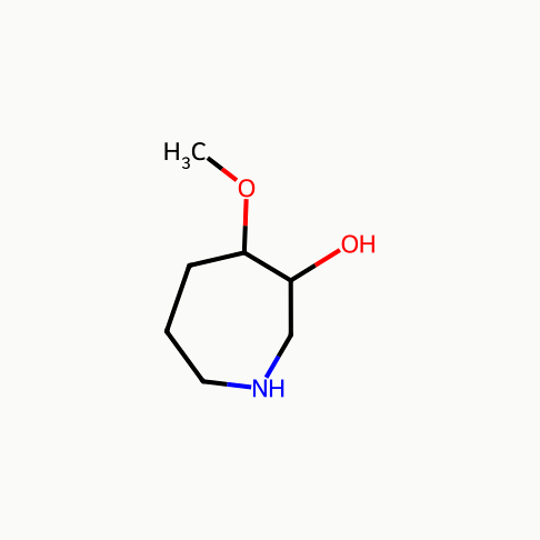 COC1CCCNCC1O